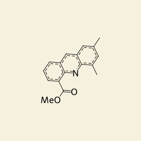 COC(=O)c1cccc2cc3cc(C)cc(C)c3nc12